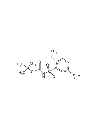 COc1ccc(C2CC2)cc1S(=O)(=O)NC(=O)OC(C)(C)C